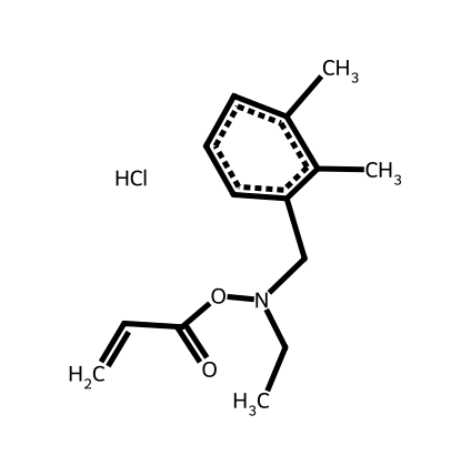 C=CC(=O)ON(CC)Cc1cccc(C)c1C.Cl